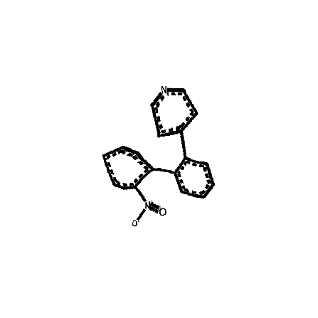 O=[N+]([O-])c1ccccc1-c1ccccc1-c1ccncc1